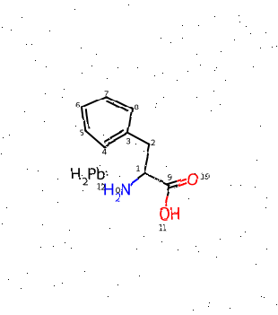 NC(Cc1ccccc1)C(=O)O.[PbH2]